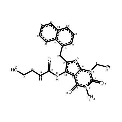 CC(C)Cn1c(=O)n(C)c(=O)c2c(NC(=O)NCCO)c(Cc3cccc4ccccc34)sc21